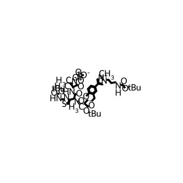 C[n+]1cc(-c2ccc3c(c2)CC[C@H]([C@](C)(O/N=C(\C(=O)N[C@@H]2C(=O)N(OS(=O)(=O)[O-])C2(C)C)c2csc(NC(=O)OC(C)(C)C)n2)C(=O)OC(C)(C)C)O3)cn1CCCNC(=O)OC(C)(C)C